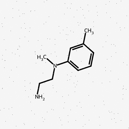 Cc1cccc(N(C)CCN)c1